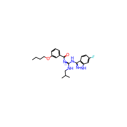 CCCCOc1cccc(C(=O)/N=C(/NCC(C)C)Nc2n[nH]c3cc(F)ccc23)c1